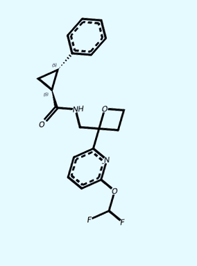 O=C(NCC1(c2cccc(OC(F)F)n2)CCO1)[C@H]1C[C@@H]1c1ccccc1